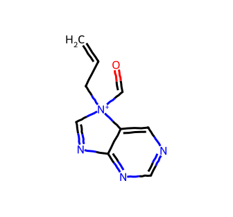 C=CC[N+]1(C=O)C=Nc2ncncc21